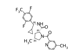 Cc1ccnc(C(=O)N2C[C@H](C)C[C@@H]2C(=O)N[C@@H](c2cc(F)c(C(F)(F)F)cc2F)C2CC2)c1